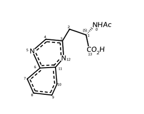 CC(=O)N[C@@H](Cc1cnc2ccccc2n1)C(=O)O